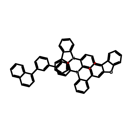 c1cc(-c2ccc(N(c3ccccc3-c3ccc4c(c3)oc3ccccc34)c3ccccc3-n3c4ccccc4c4ccccc43)cc2)cc(-c2cccc3ccccc23)c1